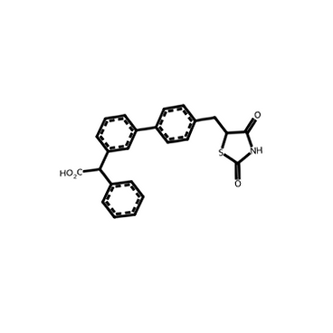 O=C1NC(=O)C(Cc2ccc(-c3cccc(C(C(=O)O)c4ccccc4)c3)cc2)S1